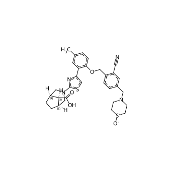 Cc1ccc(OCc2ccc(CN3CC[S+]([O-])CC3)cc2C#N)c(-c2csc(N3C[C@H]4CC[C@@H](C3)[C@H]4C(=O)O)n2)c1